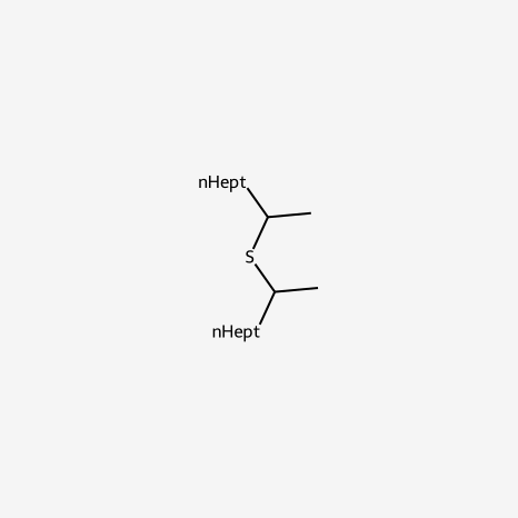 CCCCCCCC(C)SC(C)CCCCCCC